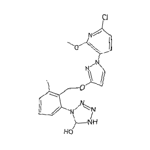 COc1nc(Cl)ccc1-n1ccc(OCc2c(C)cccc2N2N=NNC2O)n1